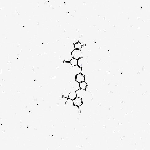 Cc1nc(CN2C(=O)S/C(=C\c3ccc4c(cnn4Cc4ccc(Cl)cc4C(F)(F)F)c3)C2=O)n[nH]1